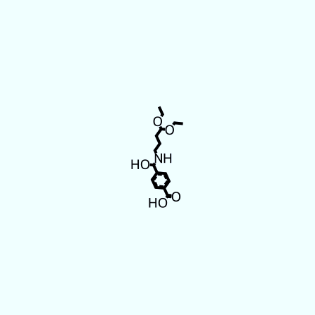 CCOC(CCCNC(O)c1ccc(C(=O)O)cc1)OCC